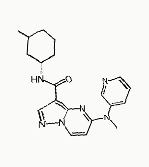 CC1CCC[C@H](NC(=O)c2cnn3ccc(N(C)c4cccnc4)nc23)C1